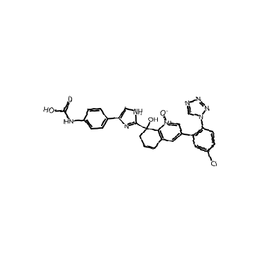 O=C(O)Nc1ccc(-c2c[nH]c(C3(O)CCCc4cc(-c5cc(Cl)ccc5-n5cnnn5)c[n+]([O-])c43)n2)cc1